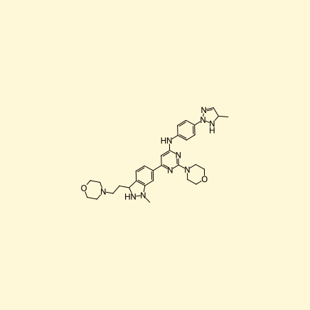 CC1C=NN(c2ccc(Nc3cc(-c4ccc5c(c4)N(C)NC5CCN4CCOCC4)nc(N4CCOCC4)n3)cc2)N1